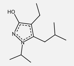 CCc1c(O)nn(C(C)C)c1CC(C)C